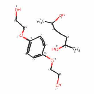 CC(O)CCC(C)O.OCCOc1ccc(OCCO)cc1